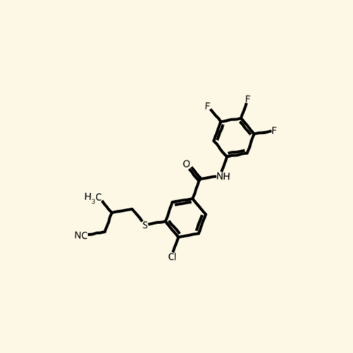 CC(CC#N)CSc1cc(C(=O)Nc2cc(F)c(F)c(F)c2)ccc1Cl